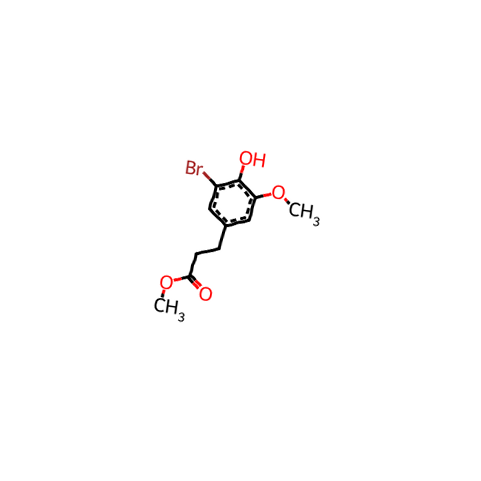 COC(=O)CCc1cc(Br)c(O)c(OC)c1